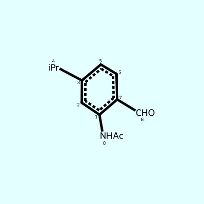 CC(=O)Nc1cc(C(C)C)ccc1C=O